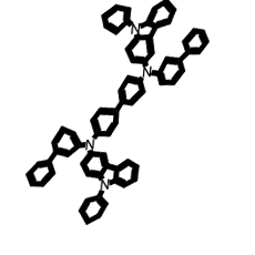 C1=CC(n2c3ccccc3c3cc(N(c4ccc(-c5ccc(N(c6cccc(-c7ccccc7)c6)c6ccc7c(c6)c6ccccc6n7-c6ccccc6)cc5)cc4)c4cccc(-c5ccccc5)c4)ccc32)=CCC1